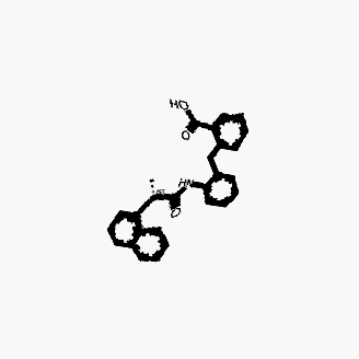 C[C@H](C(=O)Nc1ccccc1Cc1ccccc1C(=O)O)c1cccc2ccccc12